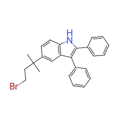 CC(C)(CCBr)c1ccc2[nH]c(-c3ccccc3)c(-c3ccccc3)c2c1